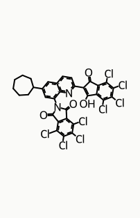 O=C1C(c2ccc3cc(C4CCCCCC4)cc(N4C(=O)c5c(Cl)c(Cl)c(Cl)c(Cl)c5C4=O)c3n2)=C(O)c2c(Cl)c(Cl)c(Cl)c(Cl)c21